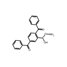 NOB(O)c1cc(C(=O)c2ccccc2)ccc1C(=O)c1ccccc1